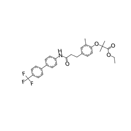 CCOC(=O)C(C)(C)Oc1ccc(CCC(=O)Nc2ccc(-c3ccc(C(F)(F)F)cc3)cc2)cc1C